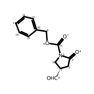 O=C[C@H]1CC(=O)N(C(=O)OCc2ccccc2)C1